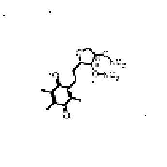 CC1=C(C)C(=O)C(CCC2OC[C@@H](O[N+](=O)[O-])[C@H]2O[N+](=O)[O-])=C(C)C1=O